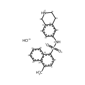 Cc1ccc(S(=O)(=O)Nc2ccc3c(c2)CCNC3)c2ccccc12.Cl